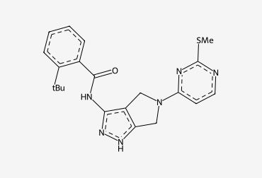 CSc1nccc(N2Cc3[nH]nc(NC(=O)c4ccccc4C(C)(C)C)c3C2)n1